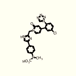 CN(C(=O)O)c1ccc(-c2c[nH]c(Cn3ccc(-c4cc(Cl)ccc4-n4cnnn4)cc3=O)n2)cc1